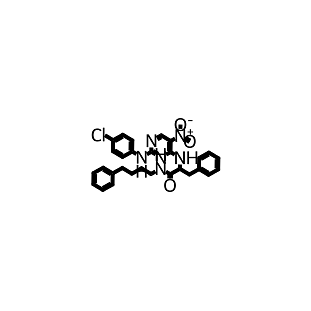 O=C(NCCCCc1ccccc1)C(Cc1ccccc1)Nc1nc(Nc2ccc(Cl)cc2)ncc1[N+](=O)[O-]